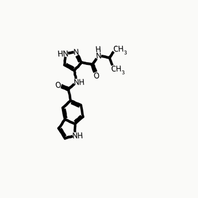 CC(C)NC(=O)c1n[nH]cc1NC(=O)c1ccc2[nH]ccc2c1